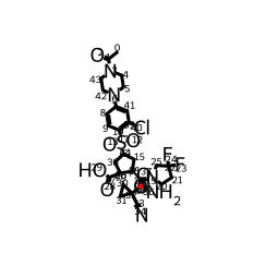 CC(=O)N1CCN(c2ccc(S(=O)(=O)[C@H]3C[C@@H](C(=O)N4CCC(F)(F)C4)[C@](C(=O)O)(C4CC4(C#N)C(N)=O)C3)c(Cl)c2)CC1